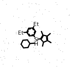 CCc1cc(CC)cc([SiH](CC2CCCCC2)C2=C(C)C(C)=C(C)C2C)c1